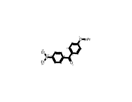 CCCOc1ccc(C(=O)c2ccc(N(CC)CC)cc2)cc1